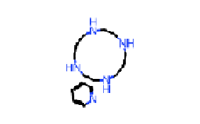 C1CNCCNCCCNCCNC1.c1ccncc1